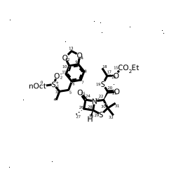 CCCCCCCC[S+]([O-])C(C)Cc1ccc2c(c1)OCO2.CCOC(=O)OC(C)SC(=O)[C@@H]1N2C(=O)[C@@H](C)[C@H]2SC1(C)C